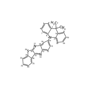 CC1(C)c2ccccc2N(c2ccc3nc4c(nc3c2)sc2ccccc24)c2ccccc21